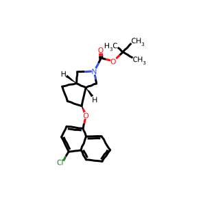 CC(C)(C)OC(=O)N1C[C@H]2CC[C@H](Oc3ccc(Cl)c4ccccc34)[C@H]2C1